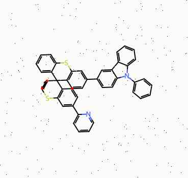 c1ccc(-n2c3ccccc3c3cc(-c4ccc5c(c4)Sc4ccccc4C54c5ccccc5Sc5cc(-c6ccccn6)ccc54)ccc32)cc1